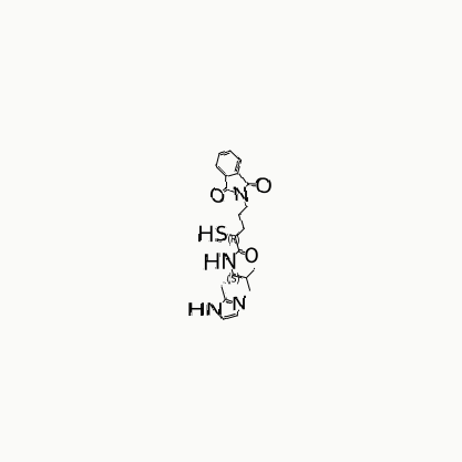 CC(C)[C@H](Cc1ncc[nH]1)NC(=O)[C@H](S)CCCN1C(=O)c2ccccc2C1=O